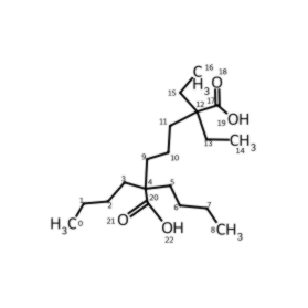 CCCCC(CCCC)(CCCC(CC)(CC)C(=O)O)C(=O)O